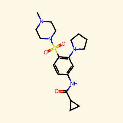 CN1CCN(S(=O)(=O)c2ccc(NC(=O)C3CC3)cc2N2CCCC2)CC1